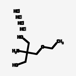 CCOCC(N)(CO)CO.Cl.Cl.Cl.Cl